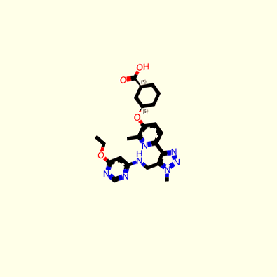 CCOc1cc(NCc2c(-c3ccc(O[C@H]4CCC[C@H](C(=O)O)C4)c(C)n3)nnn2C)ncn1